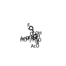 CC(=O)OCOC(=O)[C@H]1[C@@H]2[C@H](O)[C@@H](CSc3ccc(F)c(C)c3)[C@@](N)(C(=O)OCOC(C)=O)[C@H]12.Cl